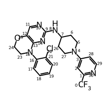 FC(F)(F)c1cc(N2CCC(Nc3ncc4c(n3)N(c3ccccc3Cl)CCO4)CC2)ccn1